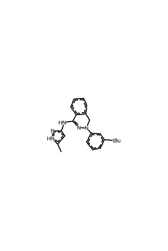 Cc1cc(NC2=NN(c3cccc(C(C)(C)C)c3)Cc3ccccc32)n[nH]1